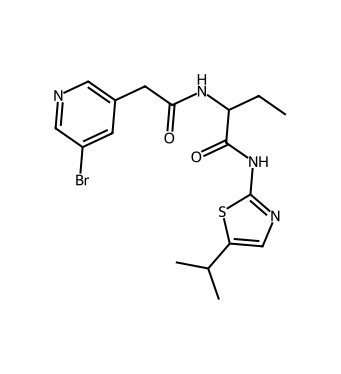 CCC(NC(=O)Cc1cncc(Br)c1)C(=O)Nc1ncc(C(C)C)s1